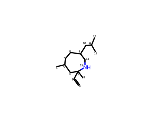 C=CC1(C)CC(C)CCC(CC(C)C)CN1